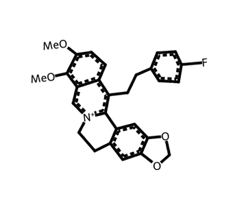 COc1ccc2c(CCc3ccc(F)cc3)c3[n+](cc2c1OC)CCc1cc2c(cc1-3)OCO2